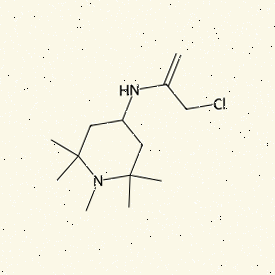 C=C(CCl)NC1CC(C)(C)N(C)C(C)(C)C1